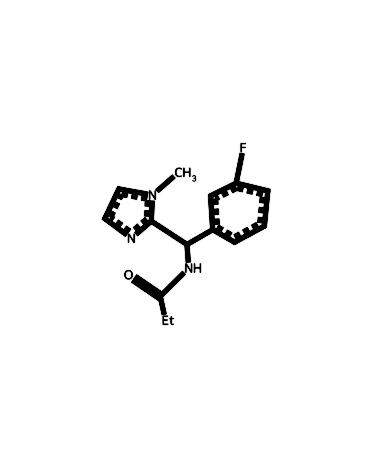 CCC(=O)NC(c1cccc(F)c1)c1nccn1C